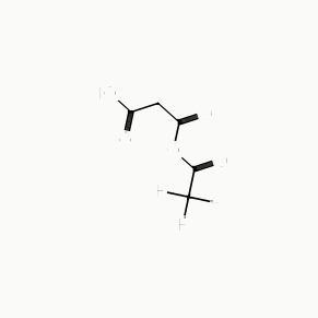 O=C(O)CC(=O)OC(=O)C(F)(F)F